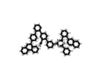 N#Cc1cc(-c2ccccc2-c2ccc(-c3cc4ccccc4c4ccccc34)cc2)ccc1-c1cccc(-c2nc(-c3ccccc3)nc(-c3ccccc3-c3ccc4ccccc4c3)n2)c1